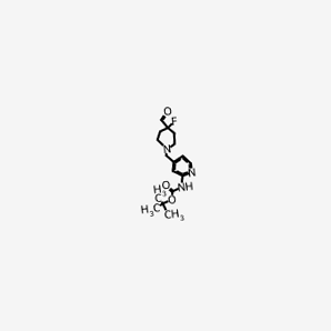 CC(C)(C)OC(=O)Nc1cc(CN2CCC(F)(C=O)CC2)ccn1